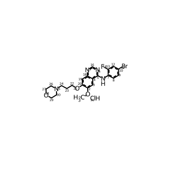 COc1cc2c(Nc3ccc(Br)cc3F)ncnc2cc1OCCCN1CCOCC1.Cl